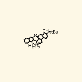 Cc1c2c(cc3ccccc13)Oc1cc3c(C)c(CC(C)(C)C)ccc3c3cc[n+](C)c-2c13